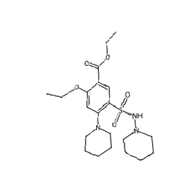 CCOC(=O)c1cc(S(=O)(=O)NN2CCCCC2)c(N2CCCCC2)cc1OCC